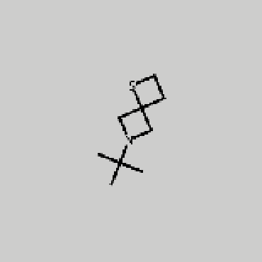 CC(C)(C)N1CC2(CCS2)C1